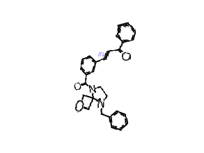 O=C(/C=C/c1cccc(C(=O)N2CCN(Cc3ccccc3)C23COC3)c1)c1ccccc1